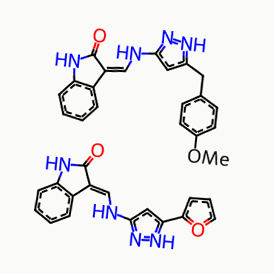 COc1ccc(Cc2cc(NC=C3C(=O)Nc4ccccc43)n[nH]2)cc1.O=C1Nc2ccccc2C1=CNc1cc(-c2ccco2)[nH]n1